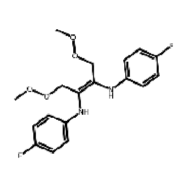 COOCC(Nc1ccc(F)cc1)=C(COOC)Nc1ccc(F)cc1